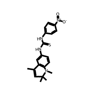 CC1=CC(C)(C)N(C)c2ccc(NC(=S)Nc3ccc([N+](=O)[O-])cc3)cc21